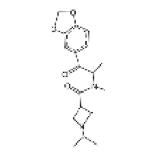 CC(C)N1CC(C(=O)N(C)C(C)C(=O)c2ccc3c(c2)OCO3)C1